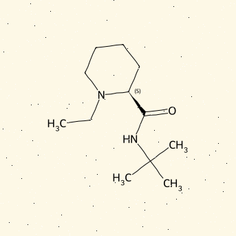 CCN1CCCC[C@H]1C(=O)NC(C)(C)C